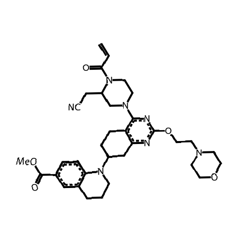 C=CC(=O)N1CCN(c2nc(OCCN3CCOCC3)nc3c2CCC(N2CCCc4cc(C(=O)OC)ccc42)C3)CC1CC#N